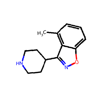 Cc1cccc2onc(C3CCNCC3)c12